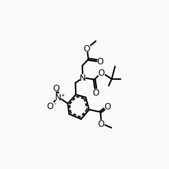 COC(=O)CN(Cc1cc(C(=O)OC)ccc1[N+](=O)[O-])C(=O)OC(C)(C)C